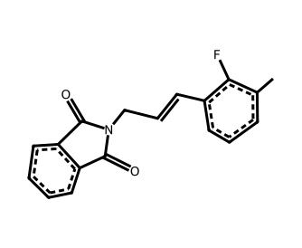 Cc1cccc(/C=C/CN2C(=O)c3ccccc3C2=O)c1F